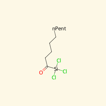 CCCCCCCCCC(=O)[Si](Cl)(Cl)Cl